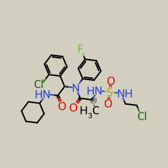 C[C@@H](NS(=O)(=O)NCCCl)C(=O)N(c1cccc(F)c1)C(C(=O)NC1CCCCC1)c1ccccc1Cl